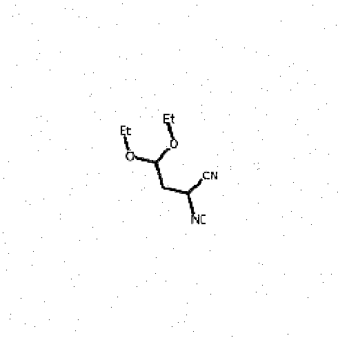 [C-]#[N+]C(C#N)CC(OCC)OCC